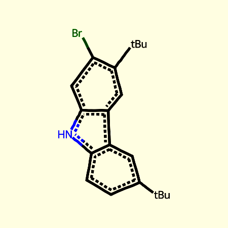 CC(C)(C)c1ccc2[nH]c3cc(Br)c(C(C)(C)C)cc3c2c1